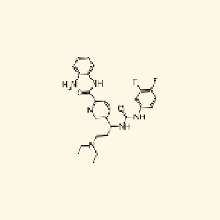 CCN(CC)CCC(NC(=O)Nc1ccc(F)c(F)c1)c1ccc(C(=O)Nc2ccccc2N)nc1